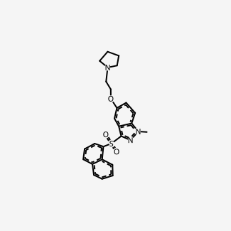 Cn1nc(S(=O)(=O)c2cccc3ccccc23)c2cc(OCCN3CCCC3)ccc21